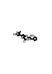 Cc1n[nH]cc1-c1cc2nc(C(N)CC3CCCC3)[nH]c(=O)c2s1